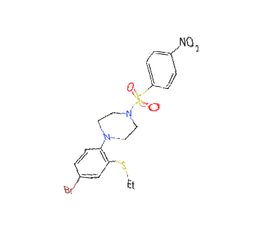 CCSc1cc(Br)ccc1N1CCN(S(=O)(=O)c2ccc([N+](=O)[O-])cc2)CC1